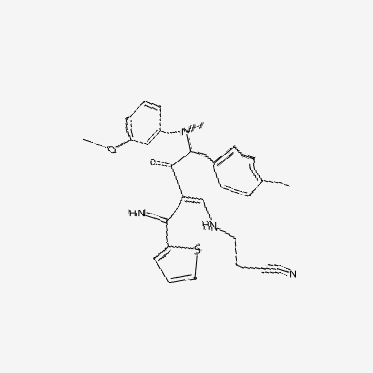 COc1cccc(NC(C(=O)/C(=C/NCCC#N)C(=N)c2cccs2)c2ccc(C)cc2)c1